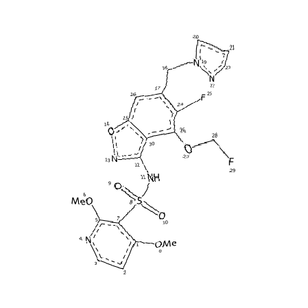 COc1ccnc(OC)c1S(=O)(=O)Nc1noc2cc(Cn3cccn3)c(F)c(OCF)c12